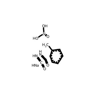 Cc1ccccc1.N=C=O.N=C=O.O=[Si](O)O.[NaH]